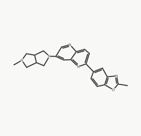 Cc1nc2cc(-c3ccc4ncc(N5CC6CN(C)CC6C5)cc4n3)ccc2o1